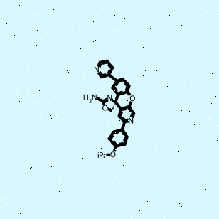 CC(C)Oc1ccc(-c2cc3c(cn2)Oc2ccc(-c4cccnc4)cc2[C@@]32COC(N)=N2)cc1